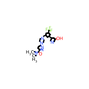 CCN(CC)C(=O)c1ccc(N2CCN(Cc3cc(-c4cncc(O)c4)cc(C(F)(F)F)c3)CC2)nn1